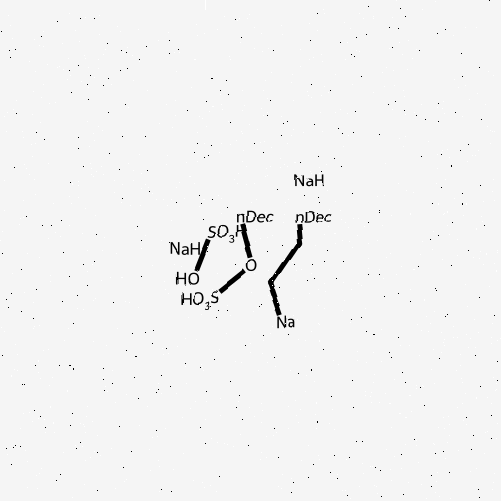 CCCCCCCCCCC[CH2][Na].CCCCCCCCCCOS(=O)(=O)O.O=S(=O)(O)O.[NaH].[NaH]